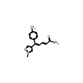 Cn1cc(/C(=C/C=C/C(N)=O)c2ccc(C(F)(F)F)cc2)cn1